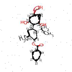 C=C(C)[C@@H]1C[C@H](OC(=O)c2ccccc2)C(C)=C[C@H]1c1c(O)cc(O)cc1O